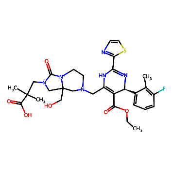 CCOC(=O)C1=C(CN2CCN3C(=O)N(CC(C)(C)C(=O)O)CC3(CO)C2)NC(c2nccs2)=N[C@H]1c1cccc(F)c1C